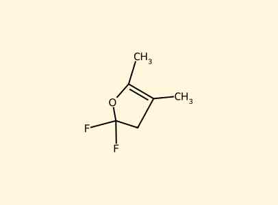 CC1=C(C)OC(F)(F)C1